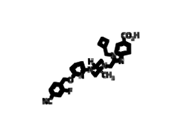 C[C@]12CN(c3cccc(OCc4ccc(C#N)cc4F)n3)[C@@H]1CN2Cc1nc2ccc(C(=O)O)cc2n1CC1CCC1